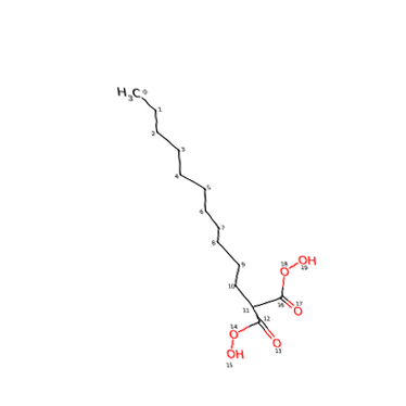 CCCCCCCCCCCC(C(=O)OO)C(=O)OO